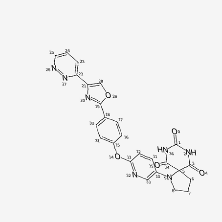 O=C1NC(=O)C2(CCCN2c2ccc(Oc3ccc(-c4nc(-c5cccnn5)co4)cc3)nc2)C(=O)N1